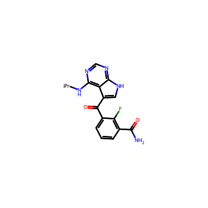 CC(C)Nc1ncnc2[nH]cc(C(=O)c3cccc(C(N)=O)c3F)c12